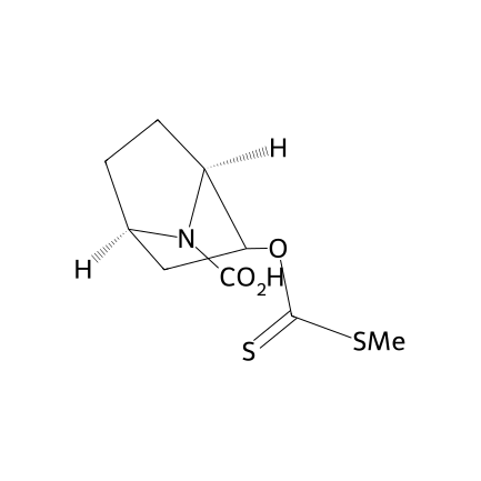 CSC(=S)OC1C[C@H]2CC[C@@H]1N2C(=O)O